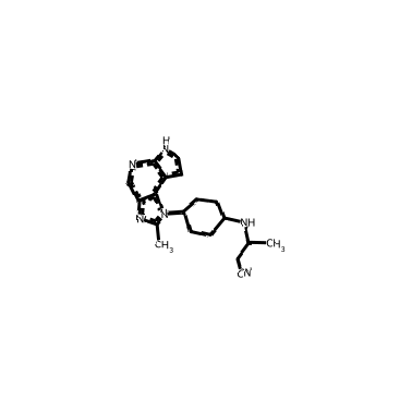 Cc1nc2cnc3[nH]ccc3c2n1C1CCC(NC(C)CC#N)CC1